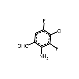 Nc1c(C=O)cc(F)c(Cl)c1F